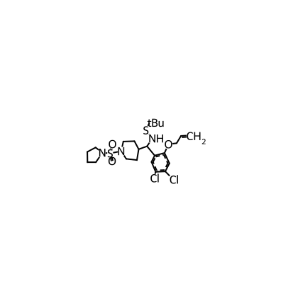 C=CCOc1cc(Cl)c(Cl)cc1C(NSC(C)(C)C)C1CCN(S(=O)(=O)N2CCCC2)CC1